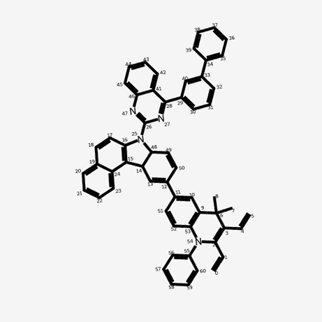 C=CC1=C(C=C)C(C)(C)c2cc(C3=CC4c5c(ccc6ccccc56)N(c5nc(-c6cccc(-c7ccccc7)c6)c6ccccc6n5)C4C=C3)ccc2N1c1ccccc1